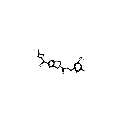 O=C(OCc1cc(C(F)(F)F)cc(C(F)(F)F)c1)N1CCn2nc(C(=O)N3CC(O)C3)cc2C1